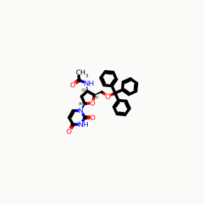 CC(=O)N[C@H]1C[C@H](n2ccc(=O)[nH]c2=O)O[C@@H]1COC(c1ccccc1)(c1ccccc1)c1ccccc1